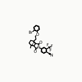 CC12CCC(CCOc3ccccc3Br)(O1)C1C(=O)N(c3ccc(C#N)c(C(F)(F)F)c3)C(=O)C12